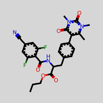 CCCOC(=O)C(Cc1ccc(-c2c(C)n(C)c(=O)n(C)c2=O)cc1)NC(=O)c1c(F)cc(C#N)cc1F